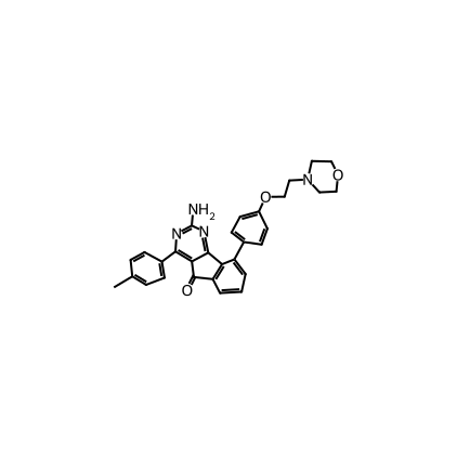 Cc1ccc(-c2nc(N)nc3c2C(=O)c2cccc(-c4ccc(OCCN5CCOCC5)cc4)c2-3)cc1